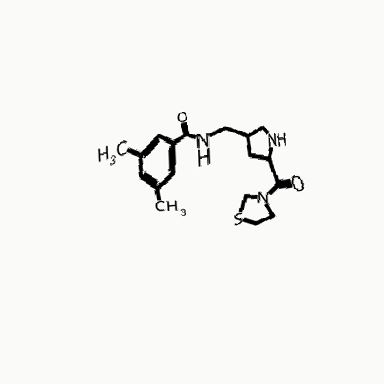 Cc1cc(C)cc(C(=O)NCC2CNC(C(=O)N3CCSC3)C2)c1